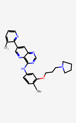 CC(C)(C)c1ccc(Nc2ncnc3cc(-c4ncccc4C(F)(F)F)cnc23)cc1OCCCN1CCCC1